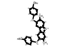 CCCCc1ccc(Oc2cc3c(cc2C)sc2cc(C)c(Oc4ccc(CCCC)cc4)cc23)cc1